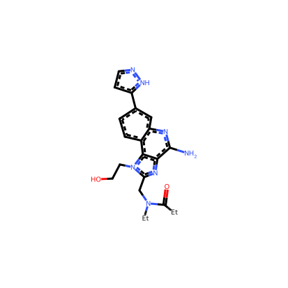 CCC(=O)N(CC)Cc1nc2c(N)nc3cc(-c4ccn[nH]4)ccc3c2n1CCO